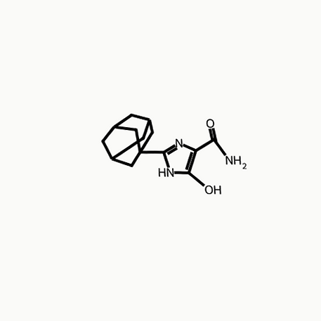 NC(=O)c1nc(C23CC4CC(CC(C4)C2)C3)[nH]c1O